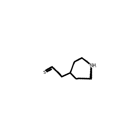 S=CCC1CCNCC1